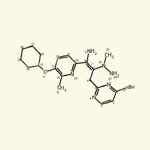 CCCCc1ccnc(C/C(=C(/N)c2ccc(OC3CCCCC3)c(C)n2)N(C)N)n1